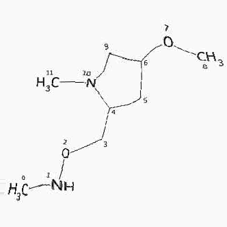 CNOCC1CC(OC)CN1C